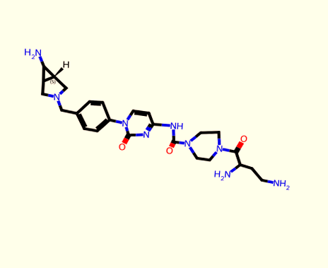 NCCC(N)C(=O)N1CCN(C(=O)Nc2ccn(-c3ccc(CN4CC5C(N)[C@@H]5C4)cc3)c(=O)n2)CC1